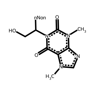 CCCCCCCCCC(CO)n1c(=O)c2c(ncn2C)n(C)c1=O